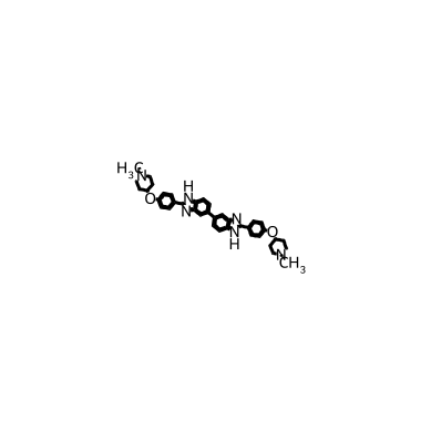 CN1CCC(Oc2ccc(-c3nc4cc(-c5ccc6[nH]c(-c7ccc(OC8CCN(C)CC8)cc7)nc6c5)ccc4[nH]3)cc2)CC1